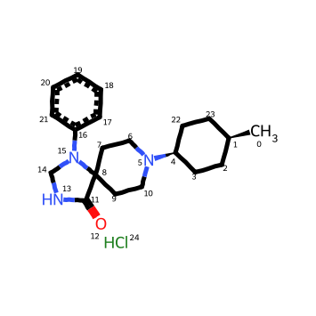 C[C@H]1CC[C@@H](N2CCC3(CC2)C(=O)NCN3c2ccccc2)CC1.Cl